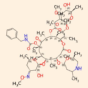 CON=C1C[C@@H](C)O[C@@H](O[C@@H]2[C@@H](C)[C@H](O[C@H]3CC(C)NC[C@H](C)O3)[C@@H](C)C(=O)O[C@H]([C@@H](C)CO[C@@H]3O[C@H](C)[C@@H](O)[C@@H](OC)[C@H]3OC)[C@H](C)[C@@H](OC(=O)CC(C)C)[C@@H](C)C(=O)[C@@](C)(OC(=O)NCc3ccccc3)C[C@@H]2C)[C@@H]1O